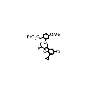 CCOC(=O)Cc1ccc(OC)cc1OCc1c(C(F)F)oc2c(C3CC3)cc(Cl)cc12